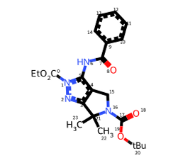 CCOC(=O)n1nc2c(c1NC(=O)c1ccccc1)CN(C(=O)OC(C)(C)C)C2(C)C